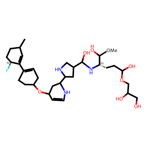 COC(O)[C@H](CCC(O)OCC(O)CO)NC(O)C1CNC(C2CC(OC3CC=C(C4=CC(C)CC[C@@H]4F)CC3)C=CN2)C1